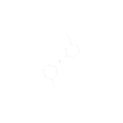 COc1ccc[c]([Pt][c]2cccc(OC)c2)c1